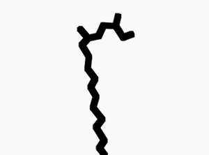 CCCCCCCCCCCCC(C)CCC(C)CC